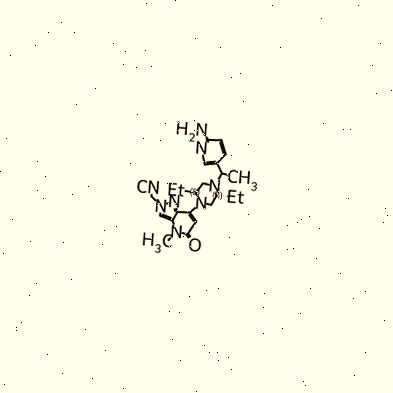 CC[C@H]1CN(C(C)c2ccc(N)nc2)[C@H](CC)CN1c1cc(=O)n(C)c2cn(CC#N)nc12